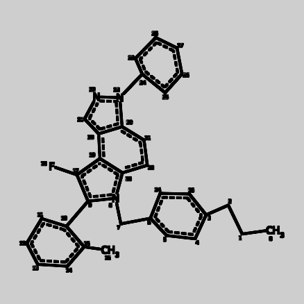 CCCc1ccc(Cn2c(-c3ccccc3C)c(F)c3c4cnn(-c5ccccc5)c4ccc32)cc1